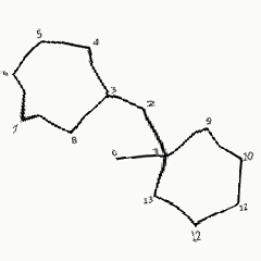 CC1(CC2CCCCC2)CCCCC1